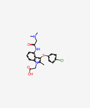 Cc1c(Sc2ccc(Cl)cc2)c2c(NC(=O)CN(C)C)cccc2n1CC(=O)O